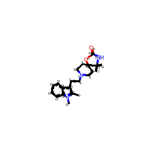 Cc1c(CCN2CCC3(CC2)OC(=O)NC3(C)C)c2ccccc2n1C